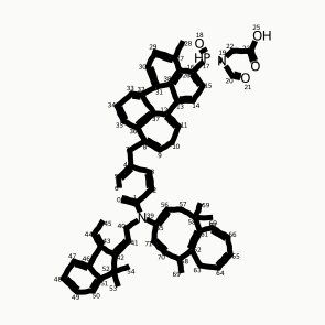 C=C(/C=C\C(=C/C)CC1=CCC=c2c3ccc([PH](=O)N(C=O)CC(=O)O)c4c(C)ccc(c5cccc1c25)c43)N(C/C=C1\C(=C/C)c2ccccc2C1(C)C)C1=C/CC(C)(C)C2=C(CC=CC=C2)C(C)/C=C\1